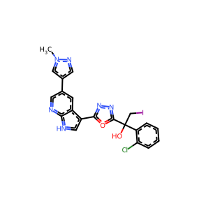 Cn1cc(-c2cnc3[nH]cc(-c4nnc(C(O)(CI)c5ccccc5Cl)o4)c3c2)cn1